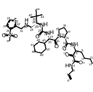 C=CCNC(=O)C(=O)C(CCCC)NC(=O)[C@@H]1CCCN1C(=O)[C@@H](NC(=O)N[C@H](CNCc1sccc1S(C)(=O)=O)C(C)(C)C)C1CCCCC1